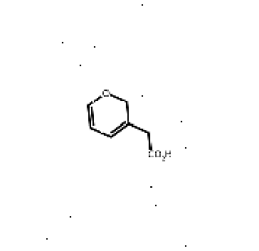 O=C(O)CC1=CC=COC1